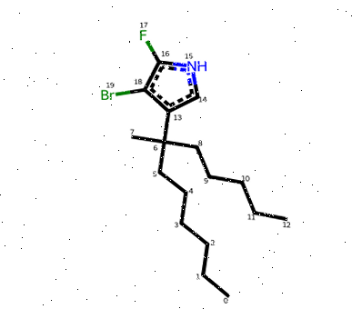 CCCCCCC(C)(CCCCC)c1c[nH]c(F)c1Br